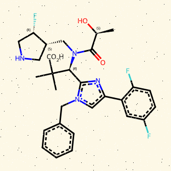 C[C@H](O)C(=O)N(C[C@@H]1CNC[C@@H]1F)[C@@H](c1nc(-c2cc(F)ccc2F)cn1Cc1ccccc1)C(C)(C)C(=O)O